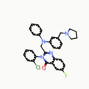 O=c1c2cc(F)ccc2nc(CN(c2ccccc2)c2cccc(CN3CCCC3)c2)n1-c1ccccc1Cl